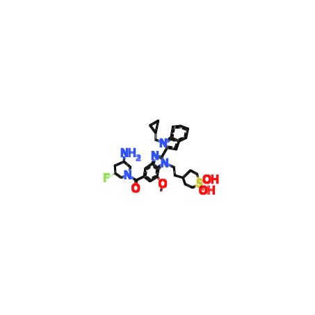 COc1cc(C(=O)N2C[C@H](N)C[C@@H](F)C2)cc2nc(-c3cc4ccccc4n3CC3CC3)n(CCC3CCS(O)(O)CC3)c12